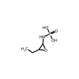 CCC1OC1NP(=O)(O)O